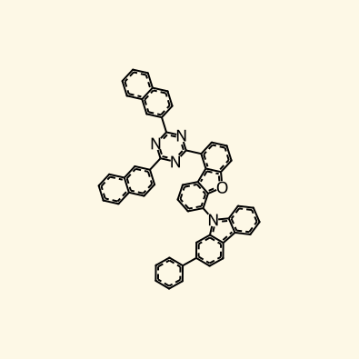 c1ccc(-c2ccc3c4ccccc4n(-c4cccc5c4oc4cccc(-c6nc(-c7ccc8ccccc8c7)nc(-c7ccc8ccccc8c7)n6)c45)c3c2)cc1